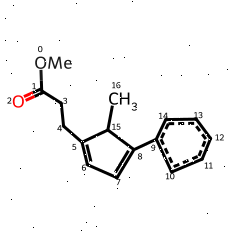 COC(=O)CCC1=CC=C(c2ccccc2)C1C